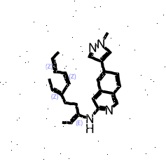 C\C=C/C=C\C(=C/C)CC/C(=C\C)Nc1cc2cc(-c3cnn(C)c3)ccc2cn1